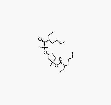 CCCCC(CC)C(=O)OC(C)(CC)CCOC(C)(C)C(=O)C(CC)CCCC